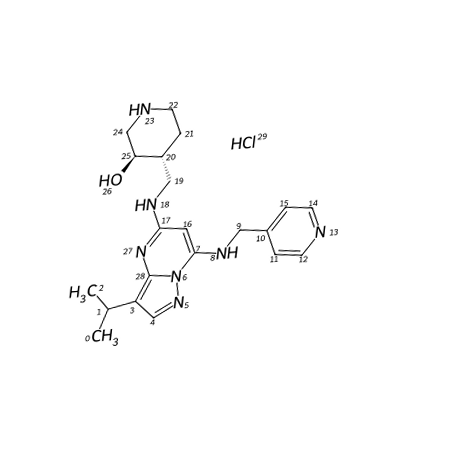 CC(C)c1cnn2c(NCc3ccncc3)cc(NC[C@H]3CCNC[C@@H]3O)nc12.Cl